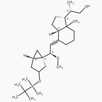 CO[C@H](/C=C1\CCCC2(C)[C@@H]([C@H](C)CO)CC[C@@H]12)[C@@]12CC(O[Si](C)(C)C(C)(C)C)C[C@@H]1C2